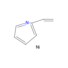 C=Cc1ccccn1.[Ni]